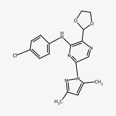 Cc1cc(C)n(-c2cnc(C3OCCO3)c(Nc3ccc(Cl)cc3)n2)n1